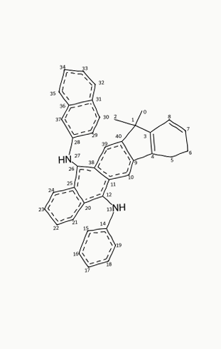 CC1(C)C2=C(CCC=C2)c2cc3c(Nc4ccccc4)c4ccccc4c(Nc4ccc5ccccc5c4)c3cc21